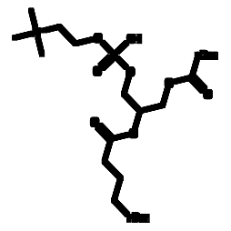 CCCCCCCCCCCCCC(=O)OC(COC(=O)CCCCCCCCCC)COP(=O)(O)OCC[N+](C)(C)C